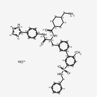 Cc1ccc(S(=O)(=O)NCc2ccccc2)cc1-c1cccc(C[C@H](NC(=O)C2CCC(CN)CC2)C(=O)Nc2ccc(-c3nnn[nH]3)cc2)c1.Cl